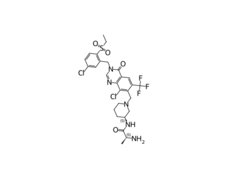 CCS(=O)(=O)c1ccc(Cl)cc1Cn1cnc2c(Cl)c(CN3CCC[C@H](NC(=O)[C@H](C)N)C3)c(C(F)(F)F)cc2c1=O